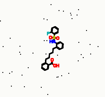 O=C(O)c1ccccc1CCCCCc1ccccc1NS(=O)(=O)c1ccccc1F